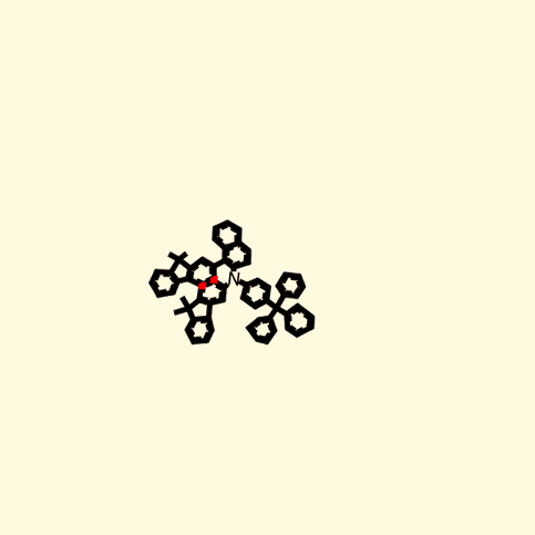 CC1(C)c2ccccc2-c2cc(N(c3ccc(C(c4ccccc4)(c4ccccc4)c4ccccc4)cc3)c3ccc4ccccc4c3-c3ccc4c(c3)C(C)(C)c3ccccc3-4)ccc21